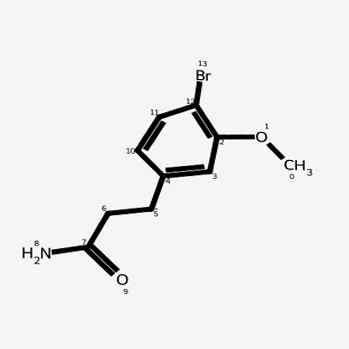 COc1cc([CH]CC(N)=O)ccc1Br